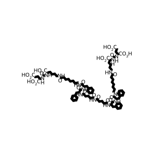 O=C(O)CCC(NC(=O)NC(CCCCNC(=O)CCCCCCCNC(=O)C(Cc1ccccc1)NC(=O)C(Cc1ccccc1)NC(=O)CCCC(=O)NC(=O)CCCC(=O)NC(Cc1ccccc1)C(=O)NC(Cc1ccccc1)C(=O)NCCCCCCCC(=O)NCCCCC(NC(=O)NC(CCC(=O)O)C(=O)O)C(=O)O)C(=O)O)C(=O)O